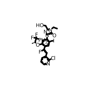 CCn1c(CO)nn(-c2cc(O[C@@H](C)C(F)(F)P)c(/C(F)=C/c3cccnc3Cl)cc2I)c1=O